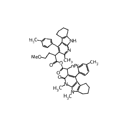 CCCC(C(=O)OC(=O)C(CCOC)c1c(C)nc2[nH]c3c(c2c1-c1ccc(C)cc1)CCCC3)c1c(-c2ccc(C)cc2)c2c3c(n(C)c2n(C)c1=O)CCCC3